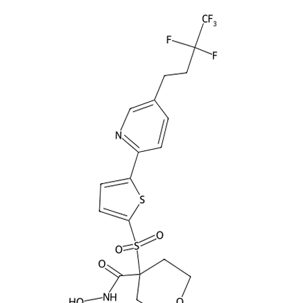 O=C(NO)C1(S(=O)(=O)c2ccc(-c3ccc(CCC(F)(F)C(F)(F)F)cn3)s2)CCOCC1